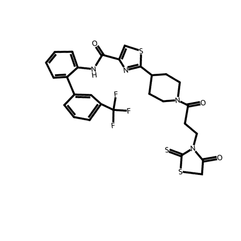 O=C(Nc1ccccc1-c1cccc(C(F)(F)F)c1)c1csc(C2CCN(C(=O)CCN3C(=O)CSC3=S)CC2)n1